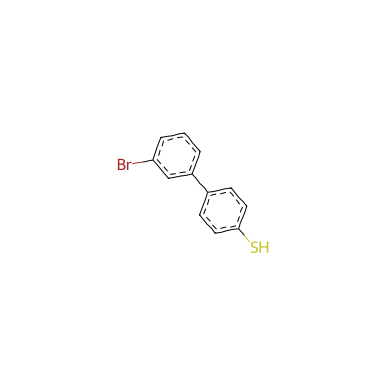 Sc1ccc(-c2cccc(Br)c2)cc1